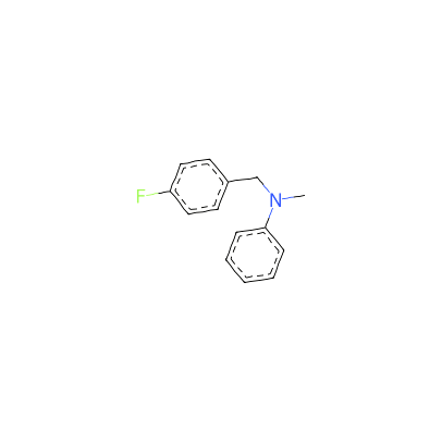 CN(Cc1ccc(F)cc1)c1ccccc1